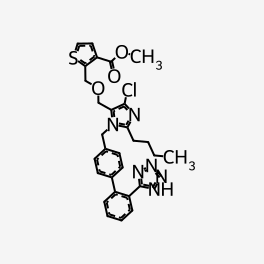 CCCCc1nc(Cl)c(COCc2sccc2C(=O)OC)n1Cc1ccc(-c2ccccc2-c2nnn[nH]2)cc1